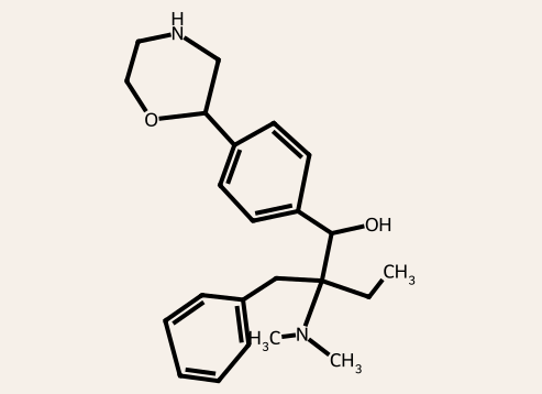 CCC(Cc1ccccc1)(C(O)c1ccc(C2CNCCO2)cc1)N(C)C